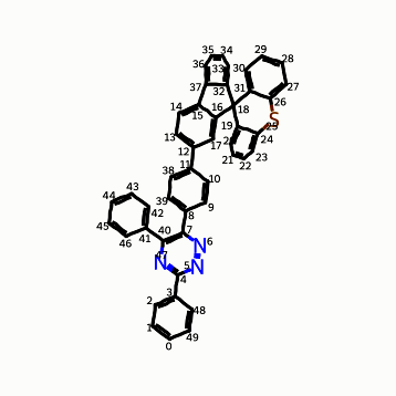 c1ccc(-c2nnc(-c3ccc(-c4ccc5c(c4)C4(c6ccccc6Sc6ccccc64)c4ccccc4-5)cc3)c(-c3ccccc3)n2)cc1